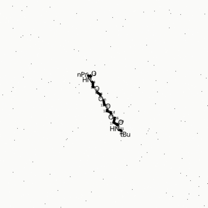 CCCC(=O)NCCOCCOCCOCCOCCC(=O)NCC(C)(C)C